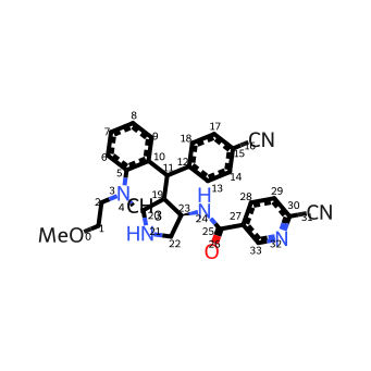 COCCN(C)c1ccccc1C(c1ccc(C#N)cc1)C1CNC[C@@H]1NC(=O)c1ccc(C#N)nc1